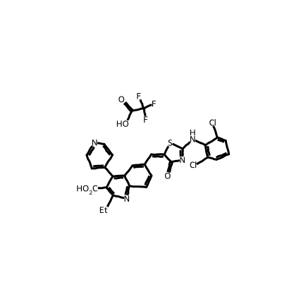 CCc1nc2ccc(C=C3SC(Nc4c(Cl)cccc4Cl)=NC3=O)cc2c(-c2ccncc2)c1C(=O)O.O=C(O)C(F)(F)F